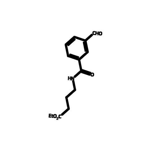 CCOC(=O)CCCNC(=O)c1cccc(C=O)c1